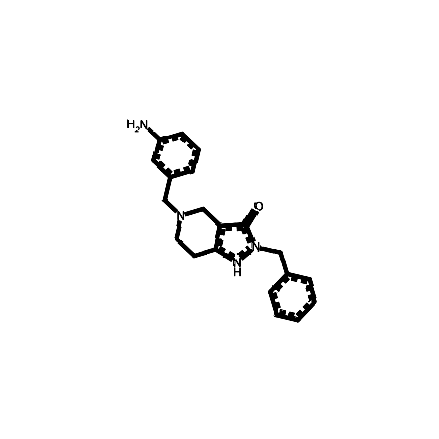 Nc1cccc(CN2CCc3[nH]n(Cc4ccccc4)c(=O)c3C2)c1